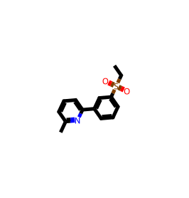 CCS(=O)(=O)c1cccc(-c2cccc(C)n2)c1